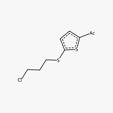 CC(=O)c1ccc(SCCCCl)s1